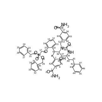 NC(=O)c1cccc(CC(c2ccccc2OCP(=O)(OCc2ccccc2)OCc2ccccc2)C2C(O)C(CCc3ccccc3)NC(=O)N2Cc2cccc(C(N)=O)c2)c1